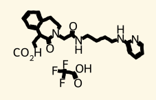 O=C(O)C(F)(F)F.O=C(O)CC1C(=O)N(CC(=O)NCCCCNc2ccccn2)CCc2ccccc21